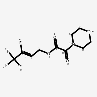 O=C(OC/C=C(\F)C(F)(F)F)C(=O)N1CCOCC1